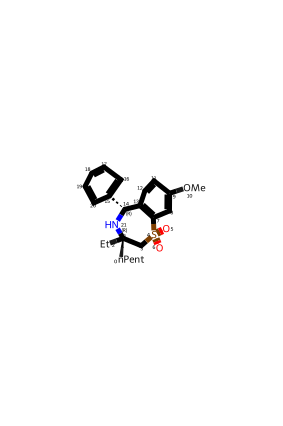 CCCCC[C@]1(CC)CS(=O)(=O)c2cc(OC)ccc2[C@@H](c2ccccc2)N1